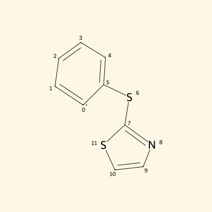 [c]1ccccc1Sc1nccs1